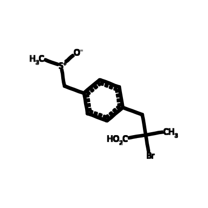 C[S+]([O-])Cc1ccc(CC(C)(Br)C(=O)O)cc1